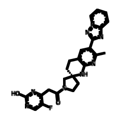 Cc1nc2c(cc1-c1nc3ccccn3n1)CC[C@@]1(CCN(C(=O)Cc3nc(O)ncc3F)C1)N2